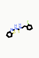 Fc1ccccc1CCNC(=S)Nc1nc2ccccc2s1